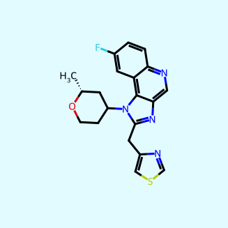 C[C@@H]1CC(n2c(Cc3cscn3)nc3cnc4ccc(F)cc4c32)CCO1